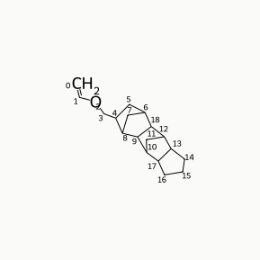 C=COCC1CC2CC1C1C3CC(C4CCCC43)C21